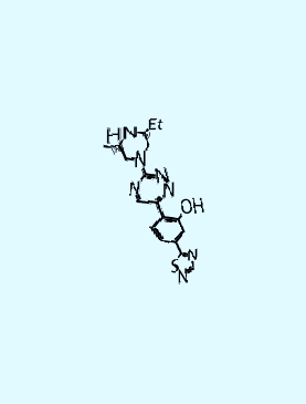 CC[C@H]1CN(c2ncc(-c3ccc(-c4ncns4)cc3O)nn2)C[C@@H](C)N1